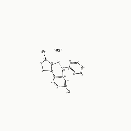 CCN1CCC2c3ccc(Cl)cc3C(c3ccccc3)CC21.Cl